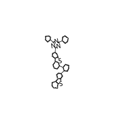 c1ccc(-c2nc(-c3ccccc3)nc(-c3ccc4c(c3)sc3c(-c5ccccc5-c5ccc6c(c5)sc5ccccc56)cccc34)n2)cc1